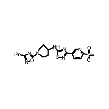 CC(C)c1noc(N2CCC(Nc3nc(-c4ccc(S(C)(=O)=O)nc4)ns3)CC2)n1